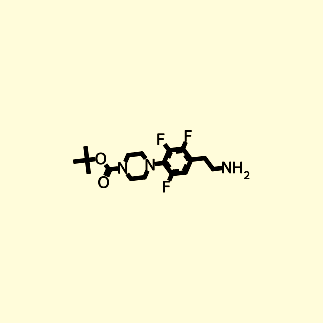 CC(C)(C)OC(=O)N1CCN(c2c(F)cc(CCN)c(F)c2F)CC1